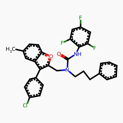 Cc1ccc2oc(CN(CCCc3ccccc3)C(=O)Nc3c(F)cc(F)cc3F)c(-c3ccc(Cl)cc3)c2c1